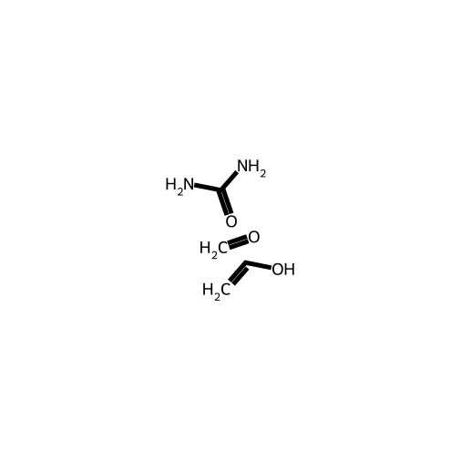 C=CO.C=O.NC(N)=O